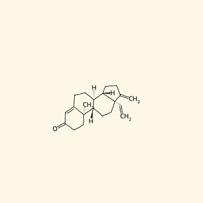 C=C[C@]12CC[C@H]3[C@@H](CCC4=CC(=O)CC[C@@]43C)[C@@H]1CCC2=C